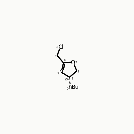 CCCC[C@H]1COC(CCl)=N1